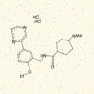 CCOc1ccc(-c2cnccn2)cc1CNC(=O)C1CCC(NC)CC1.Cl.Cl